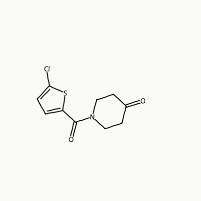 O=C1CCN(C(=O)c2ccc(Cl)s2)CC1